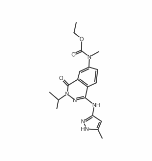 CCOC(=O)N(C)c1ccc2c(Nc3cc(C)[nH]n3)nn(C(C)C)c(=O)c2c1